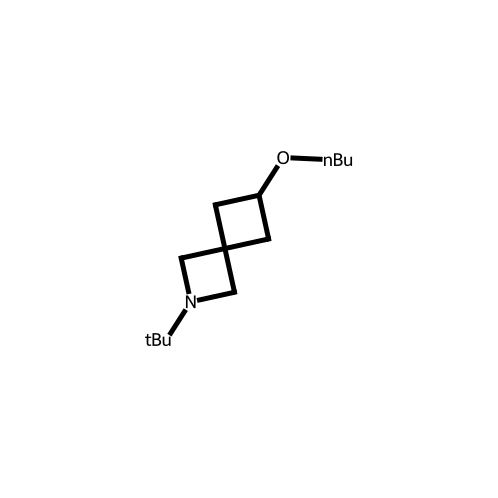 CCCCOC1CC2(C1)CN(C(C)(C)C)C2